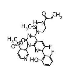 C=CC(=O)N1CCN(c2nc(=O)n(-c3cnccc3S(C)(=O)=O)c3nc(-c4c(O)cccc4F)c(F)cc23)[Si@@H](C)C1